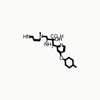 CC1CCC(Oc2ccnc(C[C@](O)(C(=O)O)[C@@H](N)CN(C)/C=C\C=N)c2)CC1